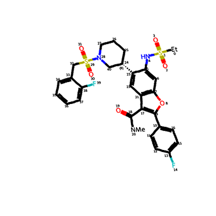 CCS(=O)(=O)Nc1cc2oc(-c3ccc(F)cc3)c(C(=O)NC)c2cc1[C@H]1CCCN(S(=O)(=O)Cc2ccccc2F)C1